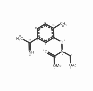 COC(=O)N(COC(C)=O)Oc1cc(C(C)=N)ccc1C